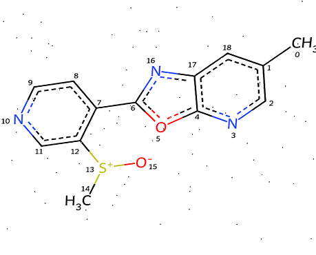 Cc1cnc2oc(-c3ccncc3[S+](C)[O-])nc2c1